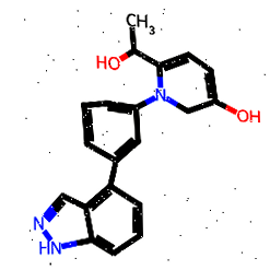 CC(O)C1=CC=C(O)CN1c1cccc(-c2cccc3[nH]ncc23)c1